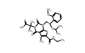 CCNC(=O)c1sc2c(c1C)c(=O)n(C(C)(C)C(=O)O)c(=O)n2C[C@H](OC(C)C)c1ccccc1OC